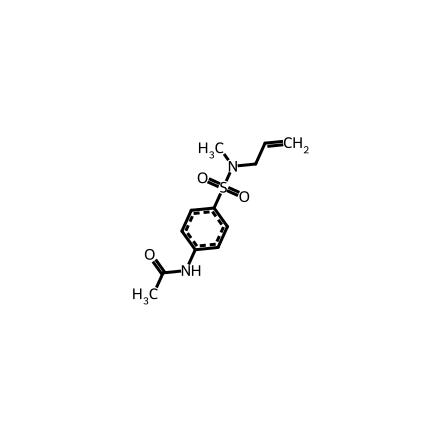 C=CCN(C)S(=O)(=O)c1ccc(NC(C)=O)cc1